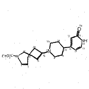 CCOC(=O)N1CCC2(CC(N3CCC(c4cc[nH]c(=O)c4)CC3)C2)C1